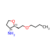 CCCCOCC[C@@H]1OCC[C@H]1N